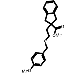 COC(=O)C1(CCSCc2ccc(OC)cc2)Cc2ccccc2C1